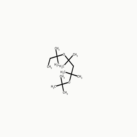 CCC(C)(C)OC(C)(C)CC(C)(C)OC(C)(C)C